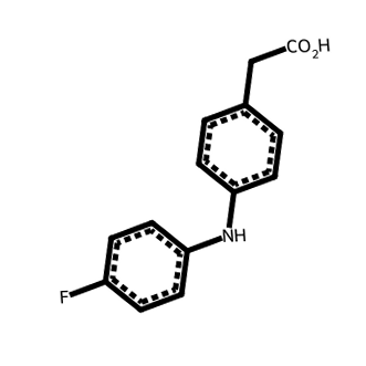 O=C(O)Cc1ccc(Nc2ccc(F)cc2)cc1